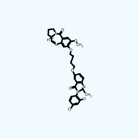 COc1cc2c(cc1OCCCCOc1ccc3nc(C)n(-c4ccc(Cl)cc4Cl)c(=O)c3c1)N=C[C@@H]1CCCN1C2=O